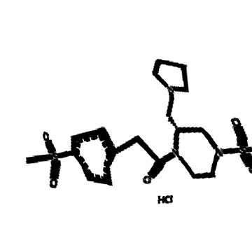 CS(=O)(=O)c1ccc(CC(=O)N2CCN(S(C)(=O)=O)C[C@H]2CN2CCCC2)cc1.Cl